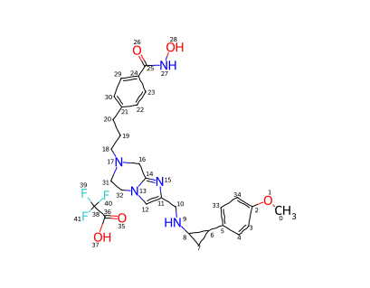 COc1ccc(C2CC2NCc2cn3c(n2)CN(CCCc2ccc(C(=O)NO)cc2)CC3)cc1.O=C(O)C(F)(F)F